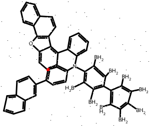 Bc1c(B)c(B)c(-c2c(B)c(B)c(N(c3ccc(-c4ccc5ccccc5c4)cc3)c3ccccc3-c3cccc4oc5c6ccccc6ccc5c34)c(B)c2B)c(B)c1B